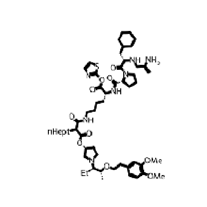 C=C(N)CN[C@@H](CC1CCCCC1)C(=O)N1CCC[C@@H]1C(=O)N[C@H](CCCCNC(=O)C(CCCCCCC)C(=O)O[C@@H]1CCN([C@H](CC)[C@@H](C)OCCc2ccc(OC)c(OC)c2)C1)C(=O)Oc1nccs1